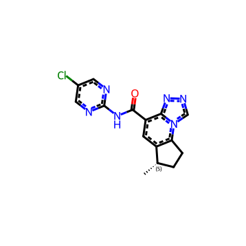 C[C@H]1CCc2c1cc(C(=O)Nc1ncc(Cl)cn1)c1nncn21